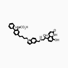 O=C(O)Nc1cc(CCCCn2ccc3cc(CNCC(O)c4ccc(O)c5[nH]c(=O)ccc45)ccc32)ccc1-c1ccccc1